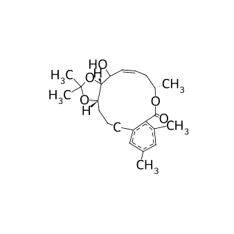 Cc1cc(C)c2c(c1)CCC[C@@H]1OC(C)(C)O[C@@H]1C(O)/C=C\C[C@H](C)OC2=O